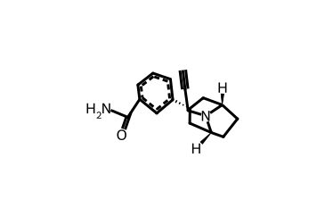 C#CCN1[C@@H]2CC[C@H]1C[C@@H](c1cccc(C(N)=O)c1)C2